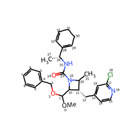 COC(OCc1ccccc1)C1[C@@H](Cc2ccnc(Cl)c2)C(C)N1C(=O)N[C@H](C)C1=CCCC=C1